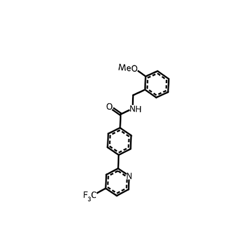 COc1ccccc1CNC(=O)c1ccc(-c2cc(C(F)(F)F)ccn2)cc1